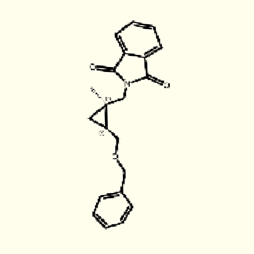 C[C@@]1(CN2C(=O)c3ccccc3C2=O)C[C@@H]1COCc1ccccc1